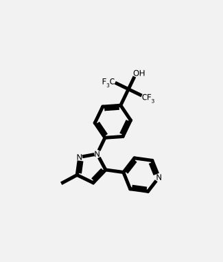 Cc1cc(-c2ccncc2)n(-c2ccc(C(O)(C(F)(F)F)C(F)(F)F)cc2)n1